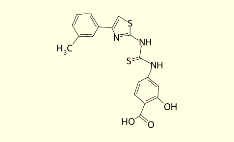 Cc1cccc(-c2csc(NC(=S)Nc3ccc(C(=O)O)c(O)c3)n2)c1